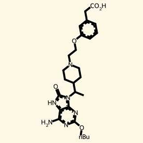 CCCCOc1nc(N)c2[nH]c(=O)n(C(C)C3CCN(CCOc4cccc(CC(=O)O)c4)CC3)c2n1